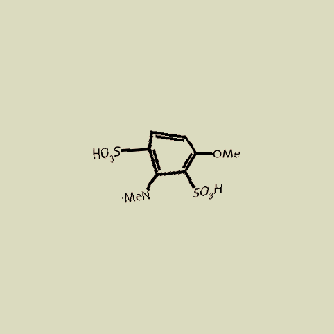 C[N]c1c(S(=O)(=O)O)ccc(OC)c1S(=O)(=O)O